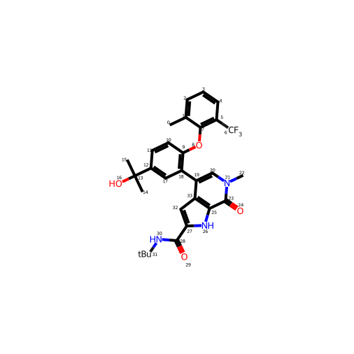 Cc1cccc(C(F)(F)F)c1Oc1ccc(C(C)(C)O)cc1-c1cn(C)c(=O)c2[nH]c(C(=O)NC(C)(C)C)cc12